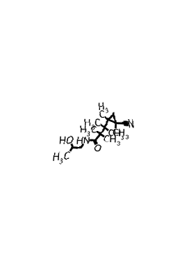 CC(O)CNC(=O)C(C)(C)C(C)(C)C1(C)CC1(C)C#N